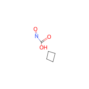 C1CCC1.O=NC(=O)O